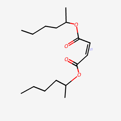 CCCCC(C)OC(=O)/C=C\C(=O)OC(C)CCCC